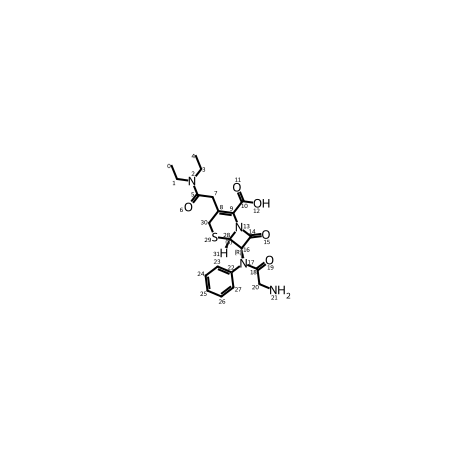 CCN(CC)C(=O)CC1=C(C(=O)O)N2C(=O)[C@@H](N(C(=O)CN)c3ccccc3)[C@@H]2SC1